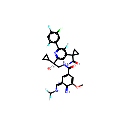 COC1=CC(C(=O)NC[C@](O)(c2cc(C3(C(N)=O)CC3)c(F)c(-c3cc(Cl)c(F)cc3F)n2)C2CC2)=C/C(=C/NC(F)F)C1=N